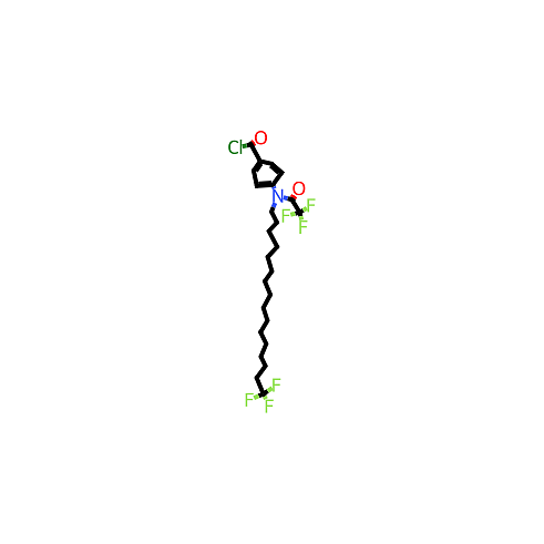 O=C(Cl)c1ccc(N(CCCCCCCCCCCCCCCC(F)(F)F)C(=O)C(F)(F)F)cc1